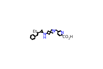 CCC(=Cc1ccccc1)C1C[C@@H]1NC1CC2(C1)CN(Cc1ccc(C(=O)O)nc1)C2